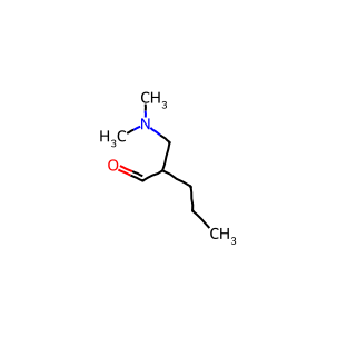 CCCC(C=O)CN(C)C